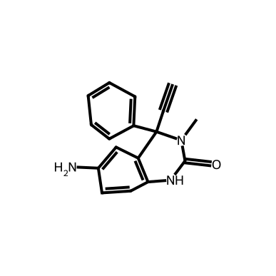 C#CC1(c2ccccc2)c2cc(N)ccc2NC(=O)N1C